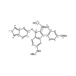 CCCCNc1ccc2c(c1)c(-c1ccc(OC)cc1OC)c(OC(=O)O)n2Cc1ccc2nsnc2c1